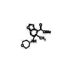 COC(=O)c1c(C)c(NC2CCOCC2)cc2occc12